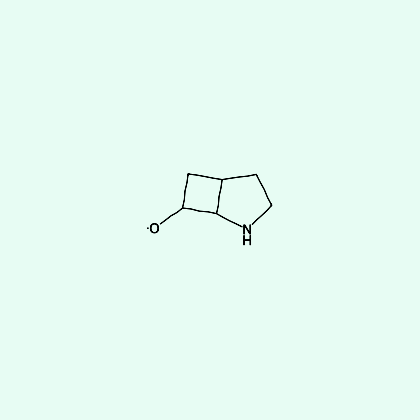 [O]C1CC2CCNC12